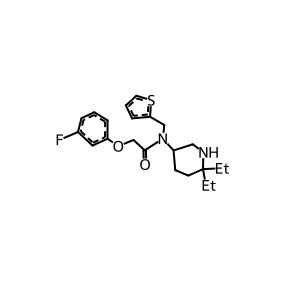 CCC1(CC)CCC(N(Cc2cccs2)C(=O)COc2cccc(F)c2)CN1